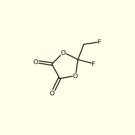 O=C1OC(F)(CF)OC1=O